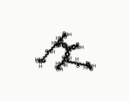 O=C(CCCCC1SCC2NC(=O)NC21)NCCCCCC(=O)NC(CC(=O)NCCS(=O)(=O)O)C(=O)NC1CCN(c2nc(N3CCC(NC(=O)C(CC(=O)NCCS(=O)(=O)O)NC(=O)CCCCCNC(=O)CCCCC4SCC5NC(=O)NC54)CC3)nc(N3CCC(C(=O)O)CC3)n2)CC1